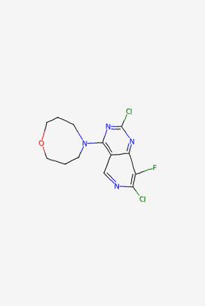 Fc1c(Cl)ncc2c(N3CCCOCCC3)nc(Cl)nc12